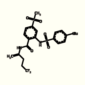 C=C(CCC(F)(F)F)NC(=O)c1ccc(S(C)(=O)=O)cc1NS(=O)(=O)c1ccc(C(C)(C)C)cc1